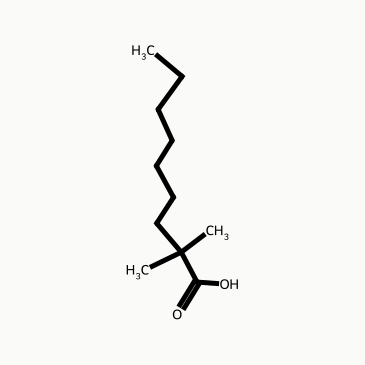 CCCCCCCC(C)(C)C(=O)O